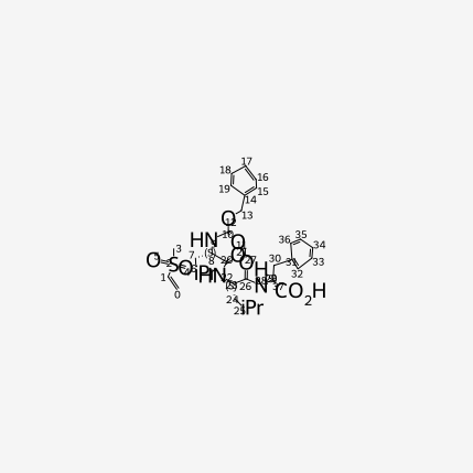 C=CS(C)(=O)=O.CC(C)C[C@H](NC(=O)OCc1ccccc1)C(=O)N[C@@H](CC(C)C)C(=O)N[C@@H](Cc1ccccc1)C(=O)O